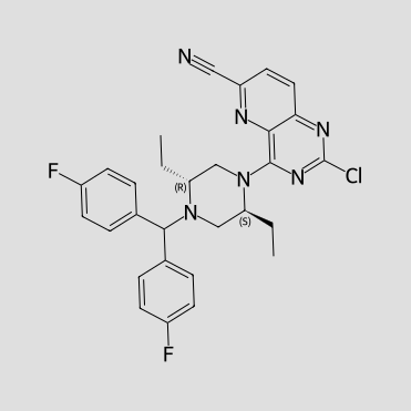 CC[C@H]1CN(C(c2ccc(F)cc2)c2ccc(F)cc2)[C@H](CC)CN1c1nc(Cl)nc2ccc(C#N)nc12